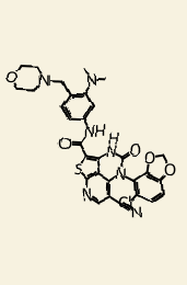 CN(C)c1cc(NC(=O)c2sc3ncc(C#N)c4c3c2NC(=O)N4c2c(Cl)ccc3c2OCO3)ccc1CN1CCOCC1